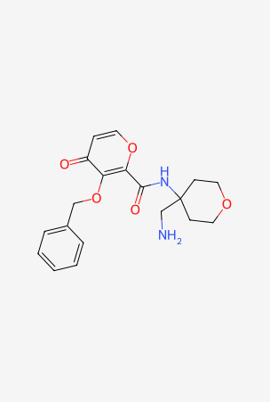 NCC1(NC(=O)c2occc(=O)c2OCc2ccccc2)CCOCC1